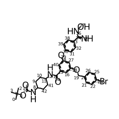 CC(C)(C)OC(=O)NC1CCC(NC(=O)c2cc(OCc3ccc(Br)cc3)cc(Oc3ccc(C(=N)NO)cc3)c2)CC1